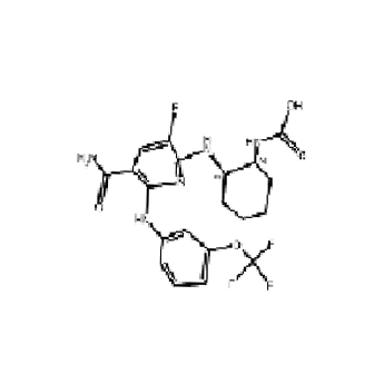 NC(=O)c1cc(F)c(N[C@@H]2CCCC[C@@H]2NC(=O)O)nc1Nc1cccc(OC(F)(F)F)c1